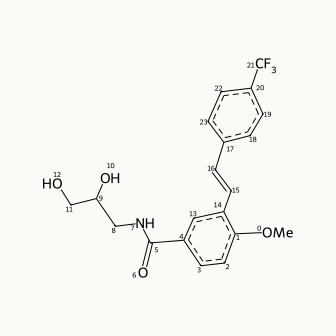 COc1ccc(C(=O)NCC(O)CO)cc1/C=C/c1ccc(C(F)(F)F)cc1